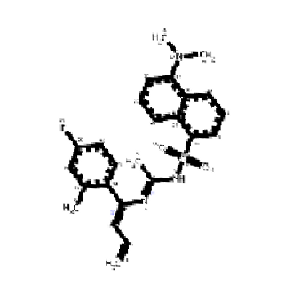 C=C/C=C(\N=C(/C)NS(=O)(=O)c1cccc2c(N(C)C)cccc12)c1ccc(F)cc1C